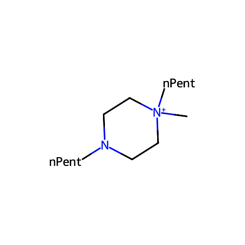 CCCCCN1CC[N+](C)(CCCCC)CC1